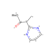 COC(=O)C(C)c1ncccn1